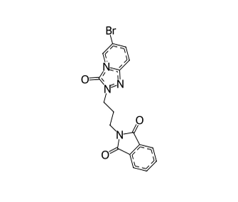 O=C1c2ccccc2C(=O)N1CCCn1nc2ccc(Br)cn2c1=O